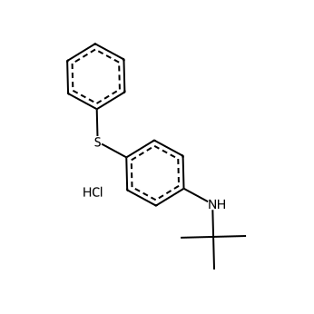 CC(C)(C)Nc1ccc(Sc2ccccc2)cc1.Cl